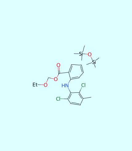 CCOCOC(=O)c1ccccc1Nc1c(Cl)ccc(C)c1Cl.C[Si](C)(C)O[Si](C)(C)C